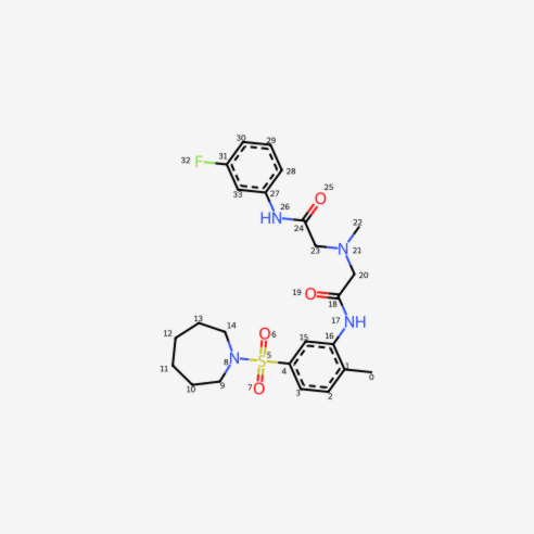 Cc1ccc(S(=O)(=O)N2CCCCCC2)cc1NC(=O)CN(C)CC(=O)Nc1cccc(F)c1